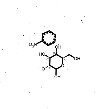 O=[N+]([O-])c1ccccc1.OC[C@H]1OC(O)[C@H](O)[C@@H](O)[C@H]1O